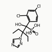 CCC(CC)(n1cncn1)C(O)(c1ccc(Cl)cc1Cl)P(=O)(O)O